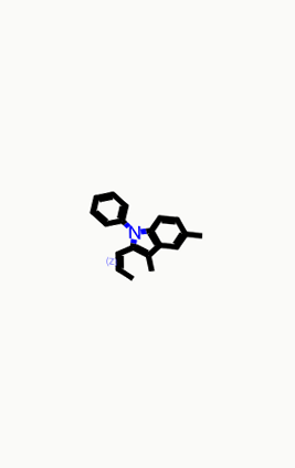 C/C=C\c1c(C)c2cc(C)ccc2n1-c1ccccc1